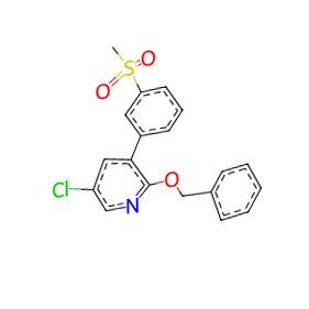 CS(=O)(=O)c1cccc(-c2cc(Cl)cnc2OCc2ccccc2)c1